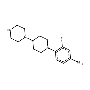 Nc1ccc(N2CCC(N3CCNCC3)CC2)c(F)c1